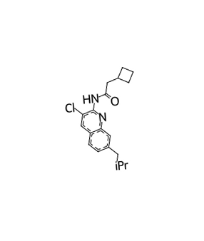 CC(C)Cc1ccc2cc(Cl)c(NC(=O)CC3CCC3)nc2c1